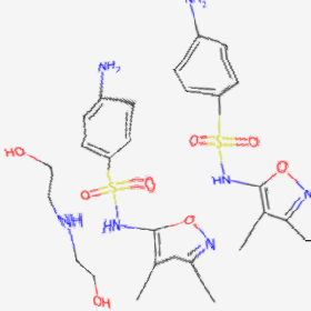 Cc1noc(NS(=O)(=O)c2ccc(N)cc2)c1C.Cc1noc(NS(=O)(=O)c2ccc(N)cc2)c1C.OCCNCCO